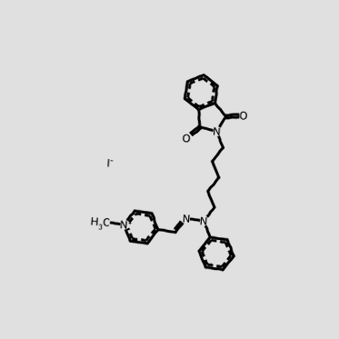 C[n+]1ccc(/C=N/N(CCCCCN2C(=O)c3ccccc3C2=O)c2ccccc2)cc1.[I-]